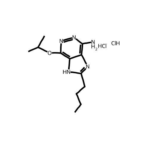 CCCCc1nc2c(N)nnc(OC(C)C)c2[nH]1.Cl.Cl